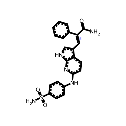 NC(=O)/C(=C/c1c[nH]c2nc(Nc3ccc(S(N)(=O)=O)cc3)ccc12)c1ccccc1